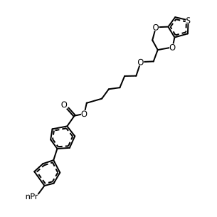 CCCc1ccc(-c2ccc(C(=O)OCCCCCCOCC3COc4cscc4O3)cc2)cc1